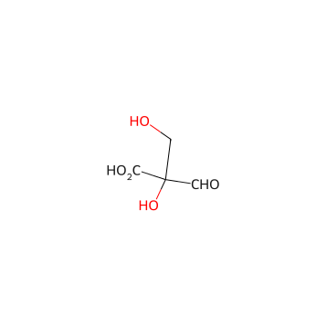 O=CC(O)(CO)C(=O)O